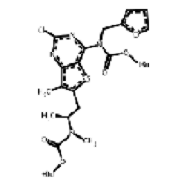 Cc1c(C[C@H](C)N(C)C(=O)OC(C)(C)C)sc2c(N(Cc3ccco3)C(=O)OC(C)(C)C)nc(Cl)nc12